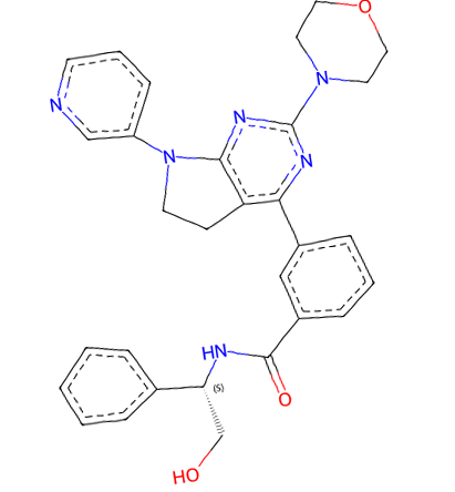 O=C(N[C@H](CO)c1ccccc1)c1cccc(-c2nc(N3CCOCC3)nc3c2CCN3c2cccnc2)c1